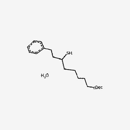 CCCCCCCCCCCCCCCC(S)CCc1ccccc1.O